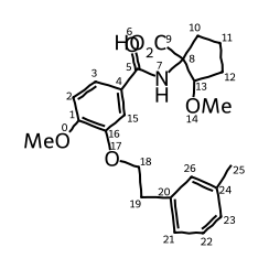 COc1ccc(C(=O)NC2(C(=O)O)CCCC2OC)cc1OCCc1cccc(C)c1